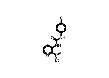 CCP(C)c1ncccc1NC(=O)Nc1ccc(Cl)cc1